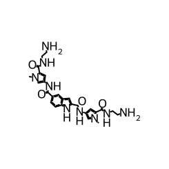 Cn1cc(NC(=O)c2ccc3[nH]c(C(=O)Nc4cc(C(=O)NCCN)n(C)c4)cc3c2)cc1C(=O)NCCN